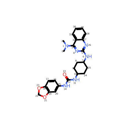 CN(C)c1nc(NC2CCC(NC(=O)Nc3ccc4c(c3)OCO4)CC2)nc2ccccc12